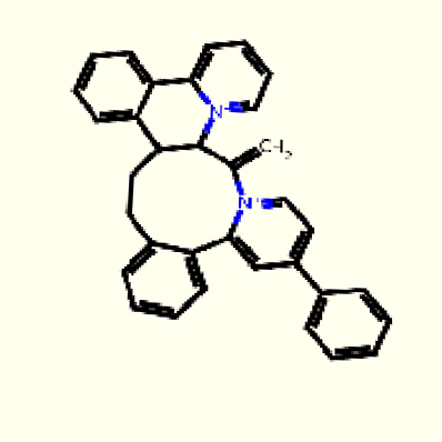 C=C1C2C(CCc3ccccc3-c3cc(-c4ccccc4)cc[n+]31)c1ccccc1-c1cccc[n+]12